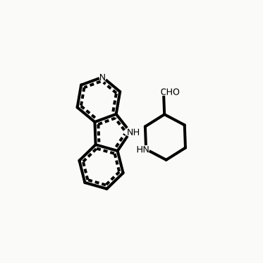 O=CC1CCCNC1.c1ccc2c(c1)[nH]c1cnccc12